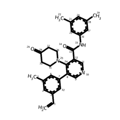 C=Cc1cc(C)cc(-c2cncc(C(=O)Nc3cc(C)cc(C)c3)c2N2CCC(=O)CC2)c1